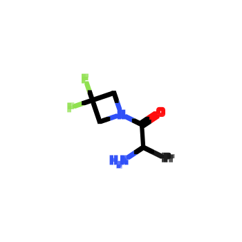 CC(C)C(N)C(=O)N1CC(F)(F)C1